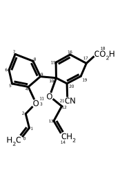 C=CCOc1ccccc1C1(OCC=C)C=CC(C(=O)O)C=C1C#N